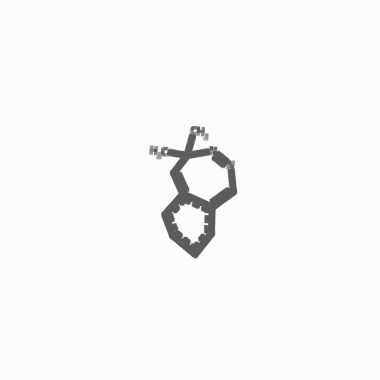 CC1(C)C=c2ccccc2=CN=N1